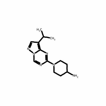 CC(C)c1cnn2cnc(N3CCC(N)CC3)nc12